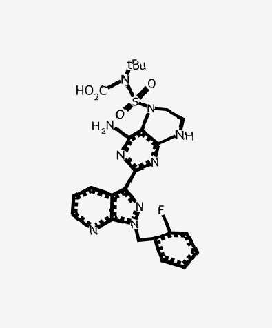 CC(C)(C)N(C(=O)O)S(=O)(=O)N1CCNc2nc(-c3nn(Cc4ccccc4F)c4ncccc34)nc(N)c21